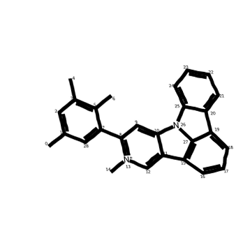 Cc1cc(C)c(C)c(-c2cc3c(c[n+]2C)c2cccc4c5ccccc5n3c42)c1